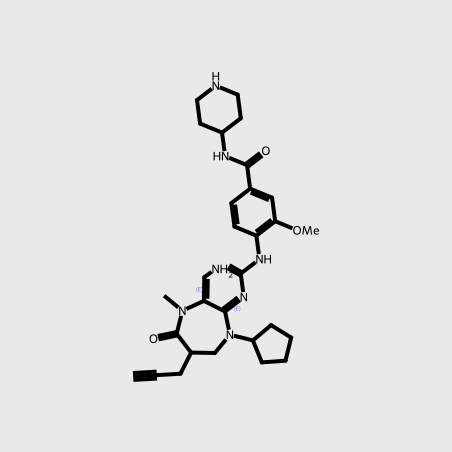 C#CCC1CN(C2CCCC2)C(=N/C(=C)Nc2ccc(C(=O)NC3CCNCC3)cc2OC)/C(=C\N)N(C)C1=O